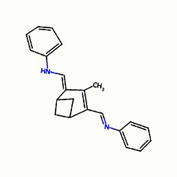 CC1=C(/C=N/c2ccccc2)C2CC(C2)/C1=C\Nc1ccccc1